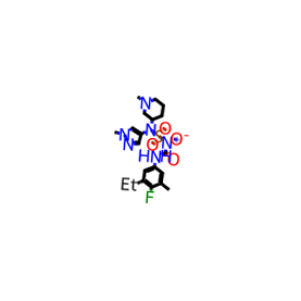 CCc1cc(NC(=O)[NH+]([O-])S(=O)(=O)N(c2cnn(C)c2)C2CCCN(C)C2)cc(C)c1F